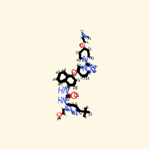 COCCn1nc(C(C)(C)C)cc1NC(=O)N[C@H]1CC[C@@H](Oc2ccc3nnc(N4CCC(OCCN(C)C)CC4)n3c2)c2ccccc21